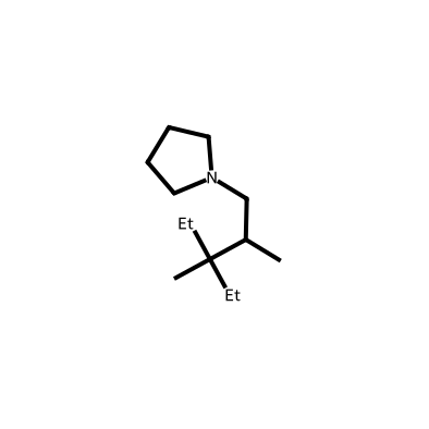 CCC(C)(CC)C(C)CN1CCCC1